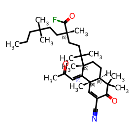 CCCC(C)(C)CC[C@@](C)(CCC(C)(C)[C@]1(C)CC[C@H]2C(C)(C)C(=O)C(C#N)=C[C@]2(C)/C1=C/C(C)=O)C(=O)F